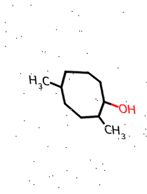 CC1CCCC(O)C(C)CC1